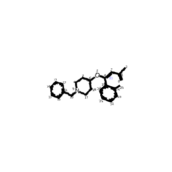 C=C(C)/C=C(/OC1CCN(Cc2ccccc2)CC1)c1ccccc1C